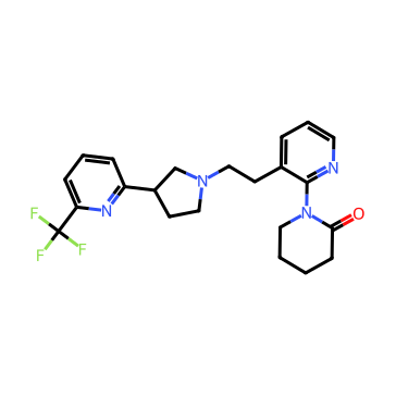 O=C1CCCCN1c1ncccc1CCN1CCC(c2cccc(C(F)(F)F)n2)C1